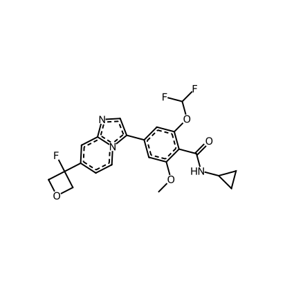 COc1cc(-c2cnc3cc(C4(F)COC4)ccn23)cc(OC(F)F)c1C(=O)NC1CC1